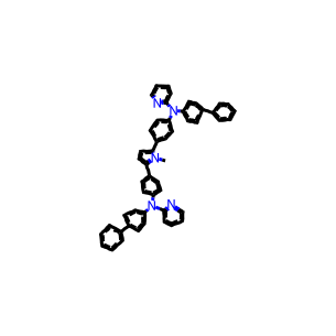 Cn1c(-c2ccc(N(c3ccc(-c4ccccc4)cc3)c3ccccn3)cc2)ccc1-c1ccc(N(c2ccc(-c3ccccc3)cc2)c2ccccn2)cc1